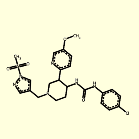 COc1ccc(C2CN(Cc3cnn(S(C)(=O)=O)c3)CCC2NC(=O)Nc2ccc(Cl)cc2)nc1